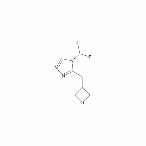 FC(F)n1cnnc1CC1COC1